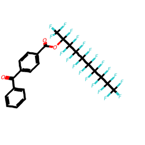 O=C(OC(F)(C(F)(F)F)C(F)(F)C(F)(F)C(F)(F)C(F)(F)C(F)(F)C(F)(F)C(F)(F)C(F)(F)F)c1ccc(C(=O)c2ccccc2)cc1